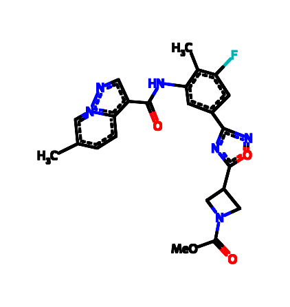 COC(=O)N1CC(c2nc(-c3cc(F)c(C)c(NC(=O)c4cnn5cc(C)ccc45)c3)no2)C1